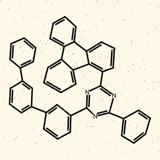 c1ccc(-c2cccc(-c3cccc(-c4nc(-c5ccccc5)nc(-c5cccc6c7ccccc7c7ccccc7c56)n4)c3)c2)cc1